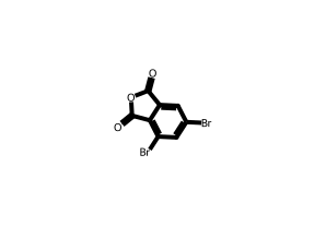 O=C1OC(=O)c2c(Br)cc(Br)cc21